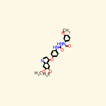 COc1cccc(N(C=O)NC(=O)Nc2ccc(Oc3ccnc4cc(OC)c(OC)cc34)cc2)c1